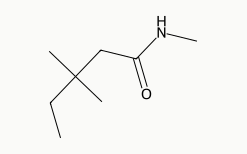 CCC(C)(C)CC(=O)NC